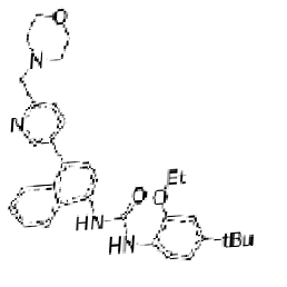 CCOc1cc(C(C)(C)C)ccc1NC(=O)Nc1ccc(-c2ccc(CN3CCOCC3)nc2)c2ccccc12